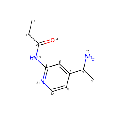 CCC(=O)Nc1cc(C(C)N)ccn1